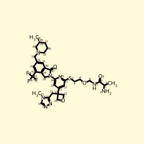 CC(N)C(=O)NCOCCSc1cc(C2(Cc3nncn3C)COC2)cc(N2Cc3c(cc(CN4CCC[C@H](C)C4)cc3C(F)(F)F)C2=O)n1